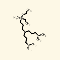 CCO[Si](C)(CC)CCCN(CCCN(C)C)CCCN(C)C